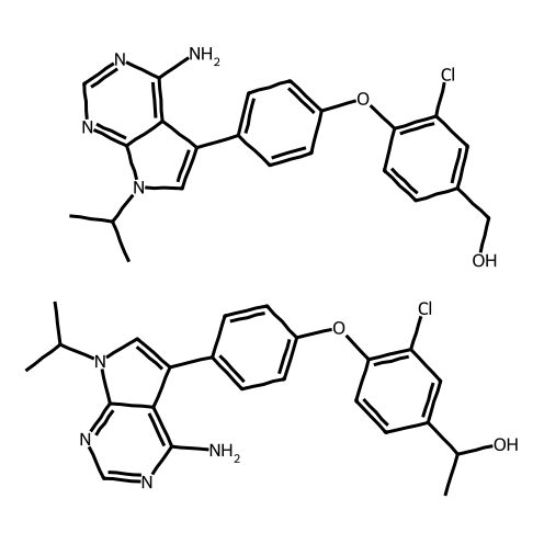 CC(C)n1cc(-c2ccc(Oc3ccc(CO)cc3Cl)cc2)c2c(N)ncnc21.CC(O)c1ccc(Oc2ccc(-c3cn(C(C)C)c4ncnc(N)c34)cc2)c(Cl)c1